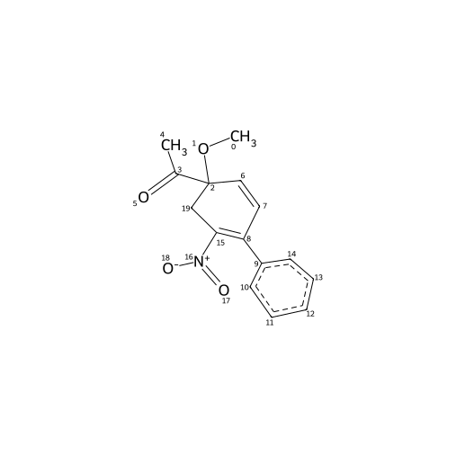 COC1(C(C)=O)C=CC(c2ccccc2)=C([N+](=O)[O-])C1